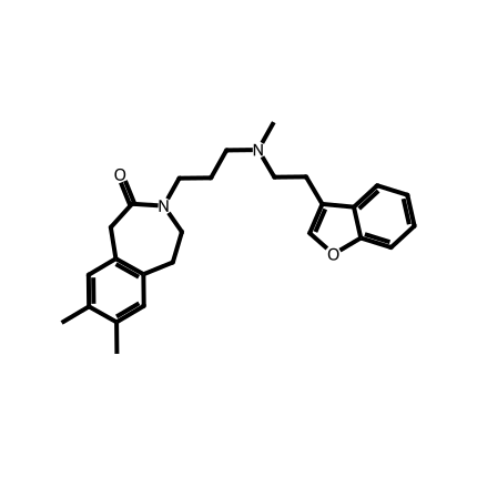 Cc1cc2c(cc1C)CC(=O)N(CCCN(C)CCc1coc3ccccc13)CC2